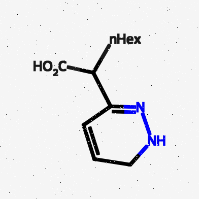 CCCCCCC(C(=O)O)C1=NNCC=C1